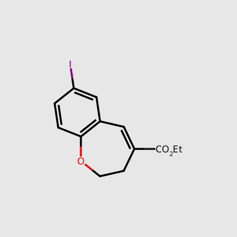 CCOC(=O)C1=Cc2cc(I)ccc2OCC1